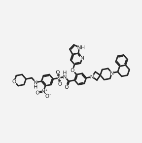 O=C(NS(=O)(=O)c1ccc(NCC2CCOCC2)c([N+](=O)[O-])c1)c1ccc(N2CC3(CCN(C4CCCc5ccccc54)CC3)C2)cc1Oc1cnc2[nH]ccc2c1